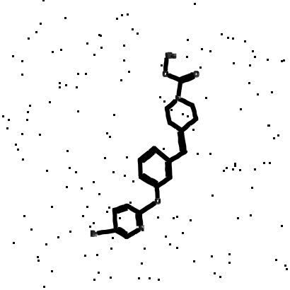 CC(C)(C)OC(=O)N1CCC(=Cc2cccc(Oc3ccc(Br)cn3)c2)CC1